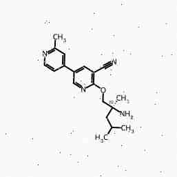 Cc1cc(-c2cnc(OC[C@@](C)(N)CC(C)C)c(C#N)c2)ccn1